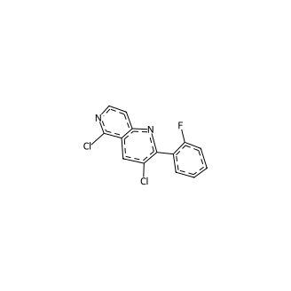 Fc1ccccc1-c1nc2ccnc(Cl)c2cc1Cl